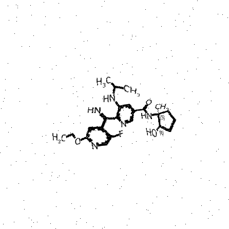 CCOc1cc(C(=N)c2ncc(C(=O)N[C@@]3(C)CCC[C@H]3O)cc2NC(C)C)c(F)cn1